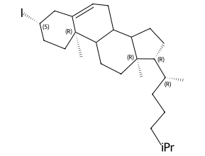 CC(C)CCC[C@@H](C)[C@H]1CCC2C3CC=C4C[C@@H](I)CC[C@]4(C)C3CC[C@@]21C